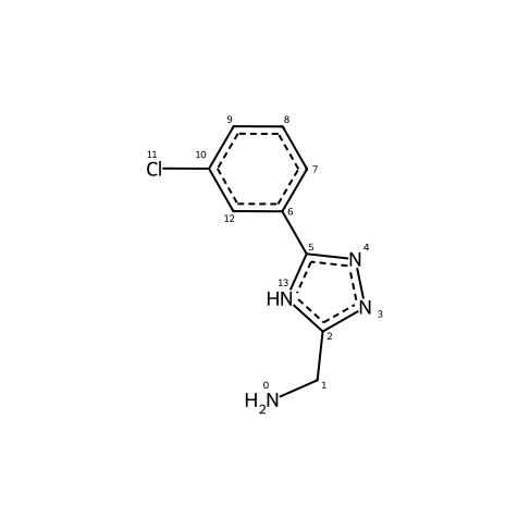 NCc1nnc(-c2cccc(Cl)c2)[nH]1